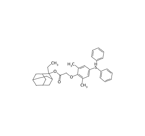 CCC1(OC(=O)COc2c(C)cc([SH](c3ccccc3)c3ccccc3)cc2C)C2CC3CC(C2)CC1C3